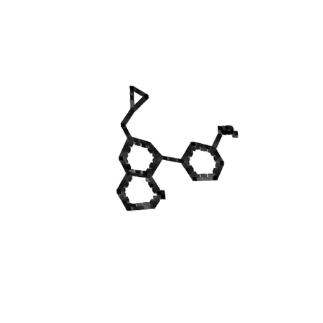 O=[N+]([O-])c1cccc(-c2cc(CC3CC3)cc3cccnc23)c1